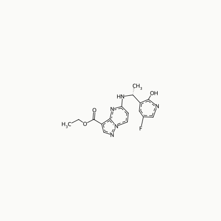 CCOC(=O)c1cnn2ccc(N[C@H](C)c3cc(F)cnc3O)nc12